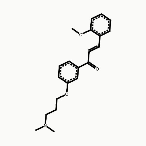 COc1ccccc1/C=C/C(=O)c1cccc(OCCCN(C)C)c1